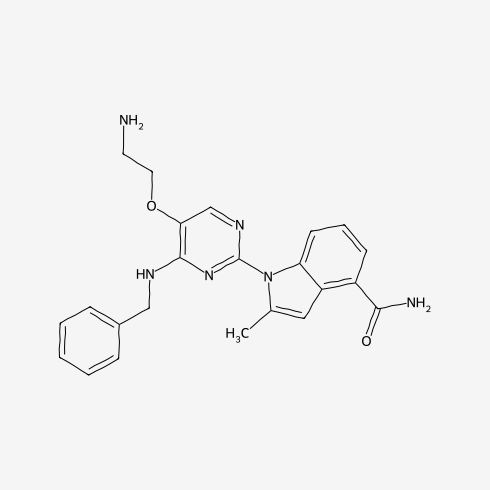 Cc1cc2c(C(N)=O)cccc2n1-c1ncc(OCCN)c(NCc2ccccc2)n1